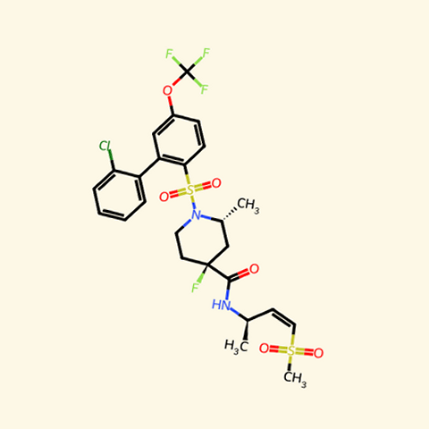 C[C@H](/C=C\S(C)(=O)=O)NC(=O)[C@]1(F)CCN(S(=O)(=O)c2ccc(OC(F)(F)F)cc2-c2ccccc2Cl)[C@H](C)C1